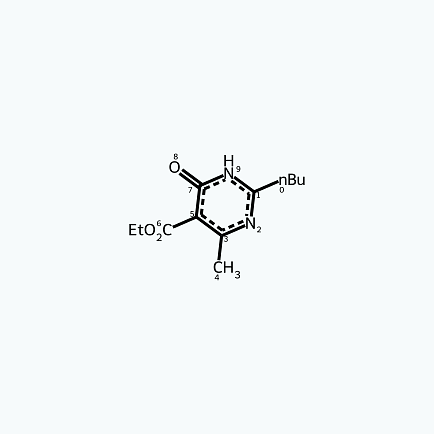 CCCCc1nc(C)c(C(=O)OCC)c(=O)[nH]1